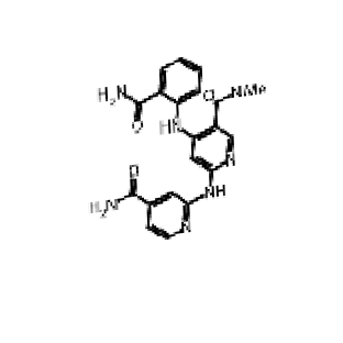 CNC(=O)c1cnc(Nc2cc(C(N)=O)ccn2)cc1Nc1ccccc1C(N)=O